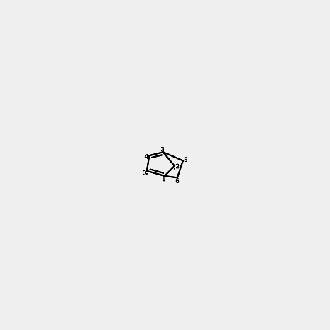 [C]1=C2[CH]C(=C1)CC2